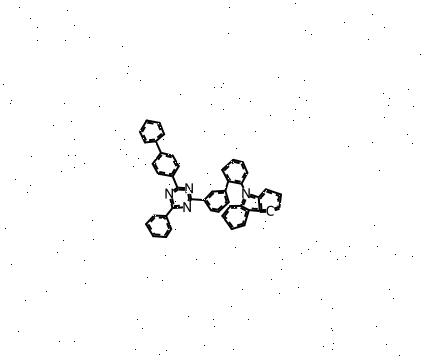 c1ccc(-c2ccc(-c3nc(-c4ccccc4)nc(-c4cccc(-c5ccccc5-n5c6ccccc6c6ccccc65)c4)n3)cc2)cc1